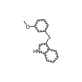 COc1cccc(Sc2c[nH]c3ccccc23)c1